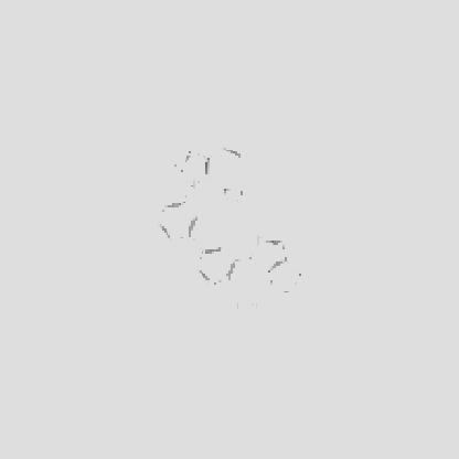 C=Cc1cnn(-c2cccc(-c3cccc(-n4ncc5c4C(CCCC)CC5)c3)c2)c1C1CC1